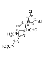 Cn1c(CCCC(=O)O)nc2c(C=O)c(N(CCCl)CCCl)ccc21